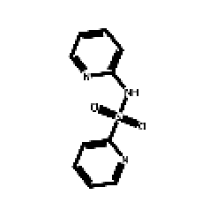 O=S(=O)(Nc1ccccn1)c1ccccn1